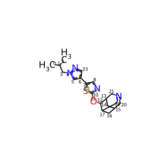 CC(C)Cn1cc(-c2cnc(OC3C4CC5CC3CN(C5)C4)s2)cn1